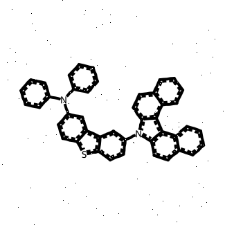 c1ccc(N(c2ccccc2)c2ccc3sc4ccc(-n5c6ccc7ccccc7c6c6c7ccccc7ccc65)cc4c3c2)cc1